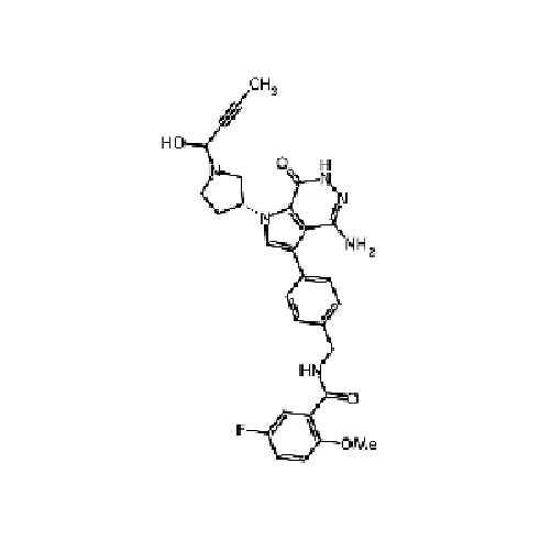 CC#CC(O)N1CC[C@@H](n2cc(-c3ccc(CNC(=O)c4cc(F)ccc4OC)cc3)c3c(N)n[nH]c(=O)c32)C1